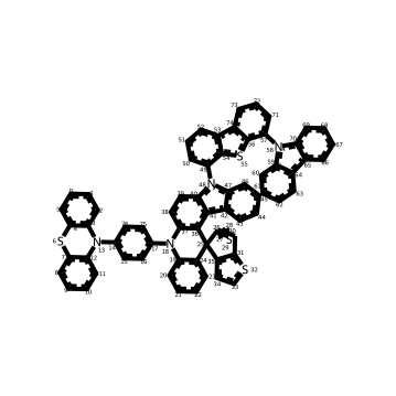 c1ccc2c(c1)Sc1ccccc1N2c1ccc(N2c3ccccc3C3(c4ccsc4-c4sccc43)c3c2ccc2c3c3ccccc3n2-c2cccc3c2sc2c(-n4c5ccccc5c5ccccc54)cccc23)cc1